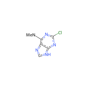 CNc1nc(Cl)nc2[nH]cnc12